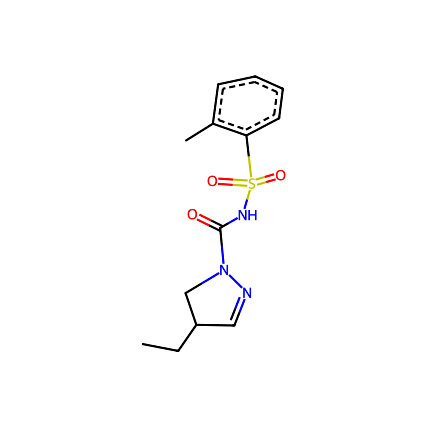 CCC1C=NN(C(=O)NS(=O)(=O)c2ccccc2C)C1